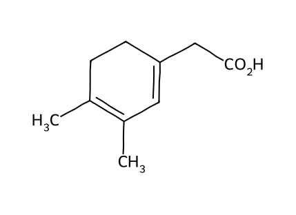 CC1=C(C)CCC(CC(=O)O)=C1